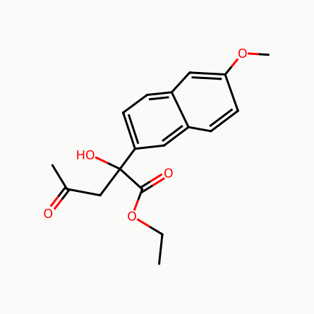 CCOC(=O)C(O)(CC(C)=O)c1ccc2cc(OC)ccc2c1